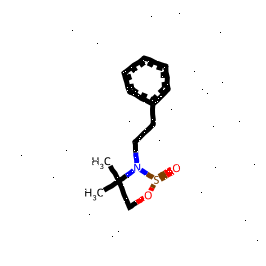 CC1(C)COS(=O)N1CCc1ccccc1